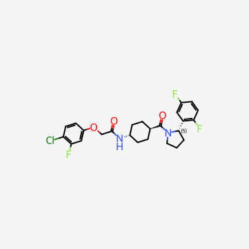 O=C(COc1ccc(Cl)c(F)c1)N[C@H]1CC[C@H](C(=O)N2CCC[C@H]2c2cc(F)ccc2F)CC1